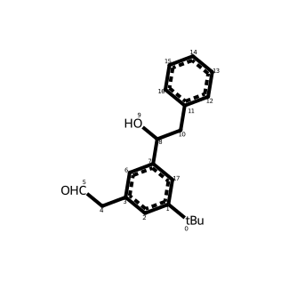 CC(C)(C)c1cc(CC=O)cc(C(O)Cc2ccccc2)c1